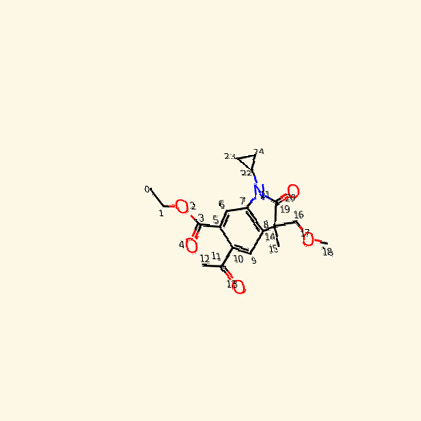 CCOC(=O)c1cc2c(cc1C(C)=O)C(C)(COC)C(=O)N2C1CC1